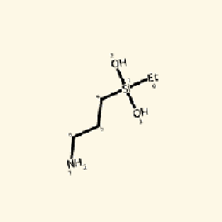 CC[Si](O)(O)CCCN